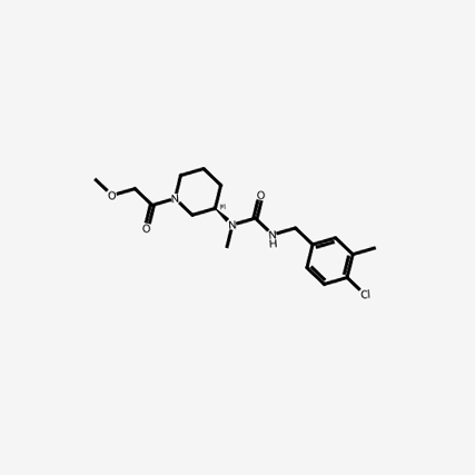 COCC(=O)N1CCC[C@@H](N(C)C(=O)NCc2ccc(Cl)c(C)c2)C1